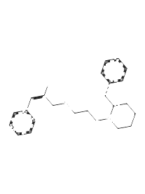 CC(=Cc1ccccc1)CNCCCN1CCCCC1Cc1ccccc1